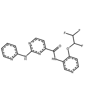 O=C(Nc1cnccc1OC(F)C(F)F)c1ccnc(Nc2ccccn2)n1